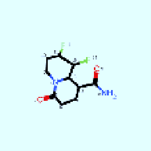 NC(=O)C1CCC(=O)N2CCC(F)C(F)C12